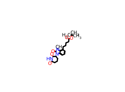 Cn1c(=O)n(C2CCCC(=O)NC2=O)c2cccc(CCCCC(=O)OC(C)(C)C)c21